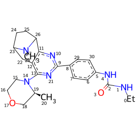 CCNC(=O)Nc1ccc(-c2nc3c(c(N4CCOC[C@@H]4C)n2)CC2CCC3N2C)cc1